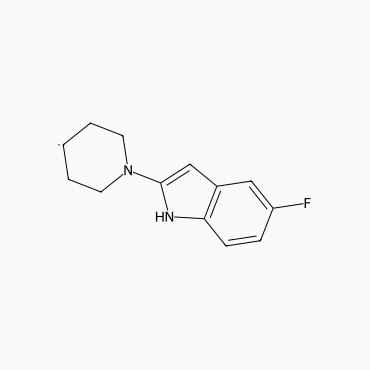 Fc1ccc2[nH]c(N3CC[CH]CC3)cc2c1